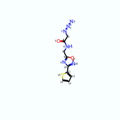 [N-]=[N+]=NCC(=O)NCc1nc(-c2cccs2)no1